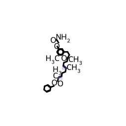 C/C(=C\CCC1(C)CCc2cc(OCC(N)=O)cc(C)c2O1)CC/C=C(\C)C(=O)OCC1=CCCC=C1